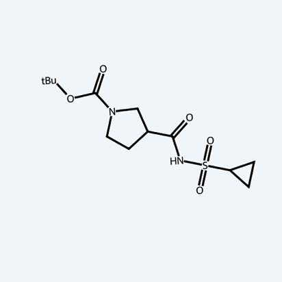 CC(C)(C)OC(=O)N1CCC(C(=O)NS(=O)(=O)C2CC2)C1